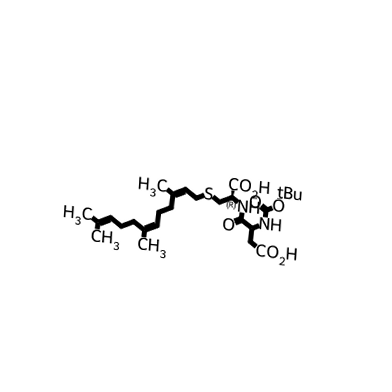 CC(C)=CCCC(C)=CCCC(C)=CCSC[C@H](NC(=O)C(CC(=O)O)NC(=O)OC(C)(C)C)C(=O)O